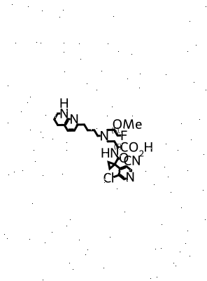 CO[C@H](CF)CN(CCCCc1ccc2c(n1)NCCC2)CC[C@H](NC(=O)C1(c2c(Cl)cncc2C#N)CC1)C(=O)O